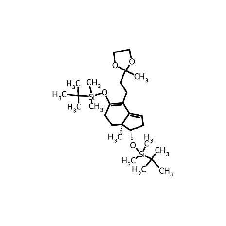 CC1(CCC2=C(O[Si](C)(C)C(C)(C)C)CC[C@@]3(C)C2=CC[C@@H]3O[Si](C)(C)C(C)(C)C)OCCO1